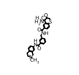 CN1CCc2ccc(NC(=O)c3cccc(CNC(=O)c4ccc5c(c4)C(C)(N)C(=O)CS5)c3)cc2C1